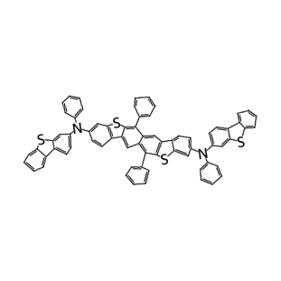 c1ccc(-c2c3cc4c(sc5cc(N(c6ccccc6)c6ccc7c(c6)sc6ccccc67)ccc54)c(-c4ccccc4)c3cc3c2sc2cc(N(c4ccccc4)c4ccc5c(c4)sc4ccccc45)ccc23)cc1